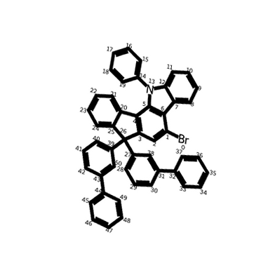 Brc1cc2c(c3c1c1ccccc1n3-c1ccccc1)-c1ccccc1C2(c1cccc(-c2ccccc2)c1)c1cccc(-c2ccccc2)c1